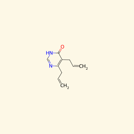 C=CCc1nc[nH]c(=O)c1CC=C